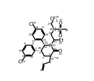 C=CC[C@@]1(C)C[C@H](c2cccc(Cl)c2)[C@@H](c2ccc(Cl)cc2)N(C(CC)CN(CC(F)(F)F)S(C)(=O)=O)C1=O